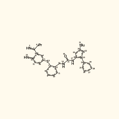 CC(C)C(=N)n1cc(Sc2ccccc2CNC(=O)Nc2cc(C(C)(C)C)nn2-c2ccccc2)ccc1=N